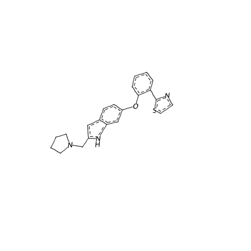 c1ccc(-c2nccs2)c(Oc2ccc3cc(CN4CCCC4)[nH]c3c2)c1